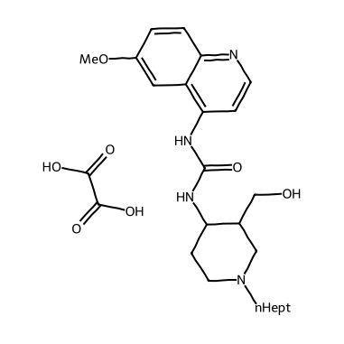 CCCCCCCN1CCC(NC(=O)Nc2ccnc3ccc(OC)cc23)C(CO)C1.O=C(O)C(=O)O